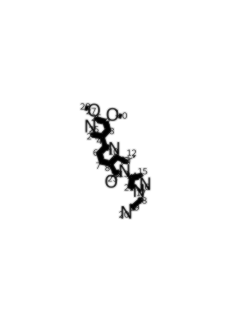 COc1cc(-c2ccc3c(n2)[C@H](C)N(c2cnn(CC#N)c2)C3=O)cnc1OC